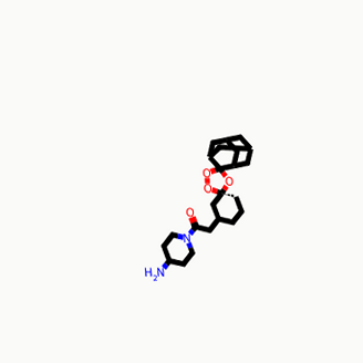 NC1CCN(C(=O)CC2CCC[C@]3(C2)OOC2(O3)C3CC4CC(C3)CC2C4)CC1